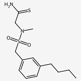 CCCCc1cccc(CS(=O)(=O)N(C)CC(N)=S)c1